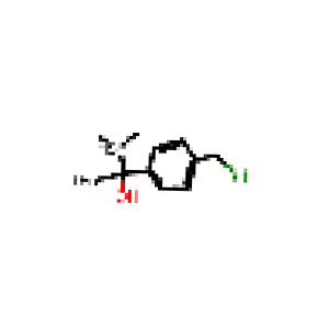 C[SiH](C)C(O)(c1ccc(CCl)cc1)C(C)(C)C